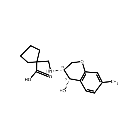 Cc1ccc2c(c1)OC[C@@H](NCC1(C(=O)O)CCCC1)[C@H]2O